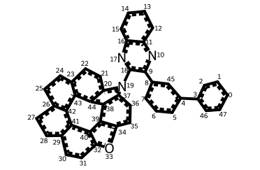 c1ccc(-c2cccc(-c3nc4ccccc4nc3-n3c4ccc5ccc6ccc7ccc8oc9ccc3c3c9c8c7c6c5c34)c2)cc1